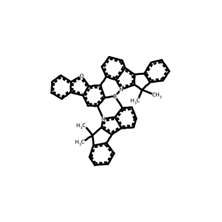 CC1(C)c2ccccc2-c2c1n1c3c(cccc23)-c2c3c(cc4c2oc2ccccc24)-n2c4c(c5cccc(c52)B31)-c1ccccc1C4(C)C